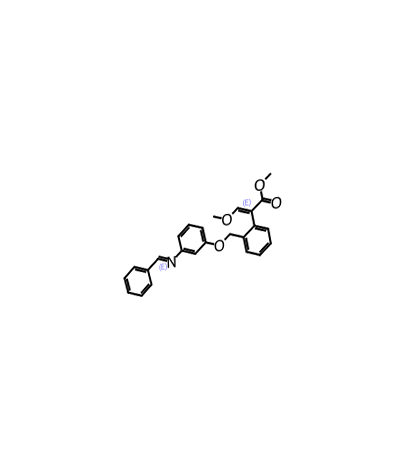 CO/C=C(/C(=O)OC)c1ccccc1COc1cccc(/N=C/c2ccccc2)c1